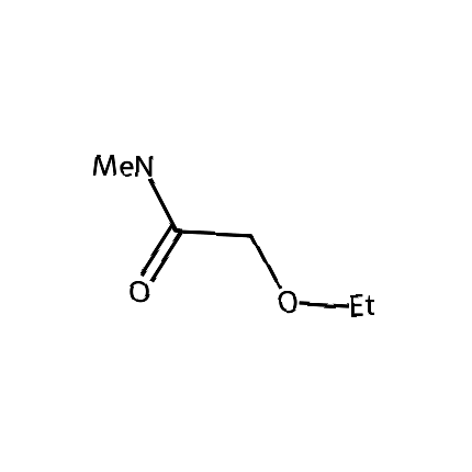 [CH2]COCC(=O)NC